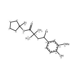 CCC(CC(C)(C)C(=O)OC1(CC)CCCC1)c1ccc(O)c(OC)c1